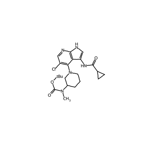 CN(C(=O)OC(C)(C)C)C1CCCN(c2c(Cl)cnc3[nH]cc(NC(=O)C4CC4)c23)C1